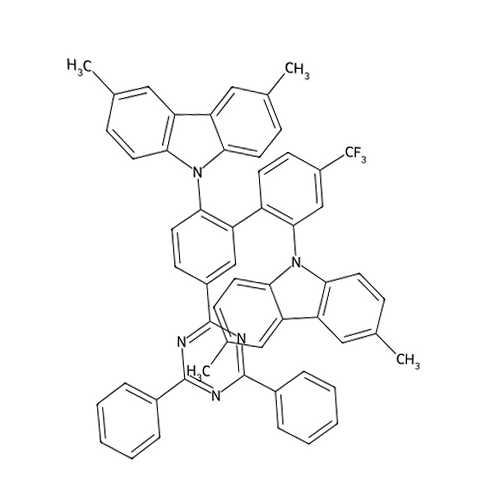 Cc1ccc2c(c1)c1cc(C)ccc1n2-c1ccc(-c2nc(-c3ccccc3)nc(-c3ccccc3)n2)cc1-c1ccc(C(F)(F)F)cc1-n1c2ccc(C)cc2c2cc(C)ccc21